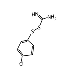 N=C(N)SSc1ccc(Cl)cc1